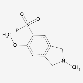 COc1cc2c(cc1S(=O)(=O)F)CN(C)C2